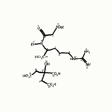 CCCCCCCCCCCC(=O)N(CC)C(CCCNC(=N)N)C(=O)O.O=C(O)CC(O)(CC(=O)O)C(=O)O